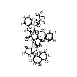 CC(C)(C)[Si](C)(C)OCCN(Cc1ccccc1)C(=O)c1nc(CC2(c3cccc4ccccc34)CCCC2)nc(O)c1OCc1ccccc1